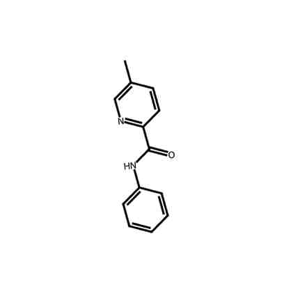 Cc1ccc(C(=O)Nc2ccccc2)nc1